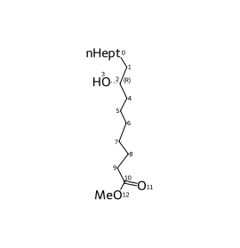 CCCCCCCC[C@@H](O)CCCCCCC(=O)OC